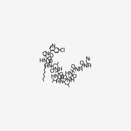 CCCCCCCCC(NC(=O)[C@@H]1CCCN1C(=O)c1ccnc2cc(Cl)ccc12)C(=O)NC(CC(C)C)C(=O)NC(C)(C)C(=O)NC(CC(C)C)C(=O)NC(CC(C)C)C(=O)NC(C)(C)C(=O)NC(C)(C)C(=O)NCCC(=O)NC(C)CN(C)C